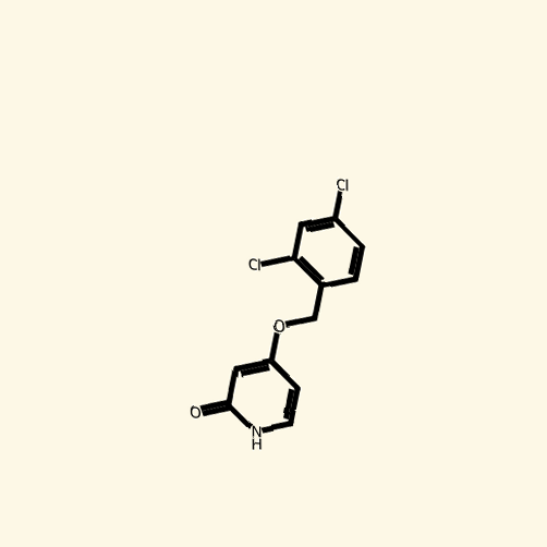 O=c1cc(OCc2ccc(Cl)cc2Cl)cc[nH]1